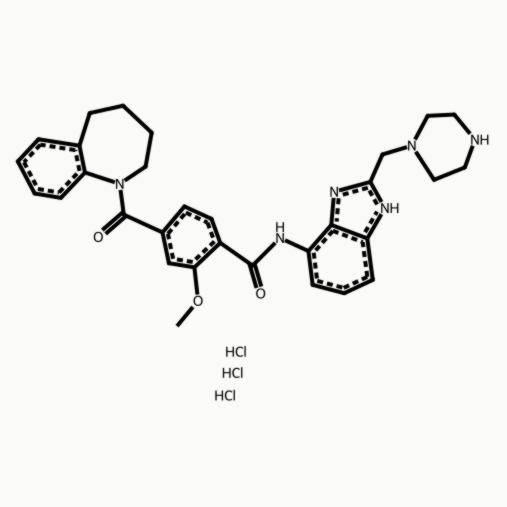 COc1cc(C(=O)N2CCCCc3ccccc32)ccc1C(=O)Nc1cccc2[nH]c(CN3CCNCC3)nc12.Cl.Cl.Cl